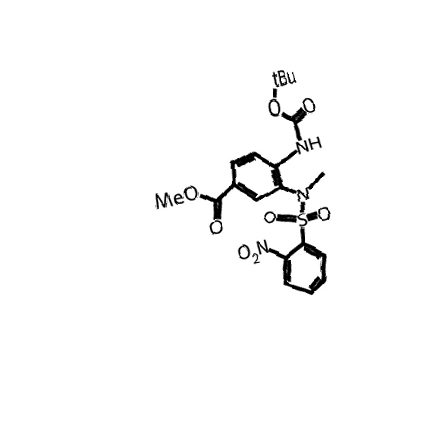 COC(=O)c1ccc(NC(=O)OC(C)(C)C)c(N(C)S(=O)(=O)c2ccccc2[N+](=O)[O-])c1